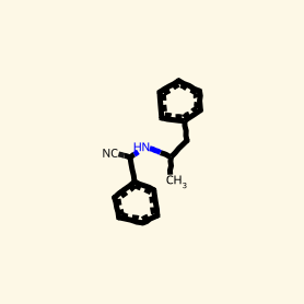 CC(Cc1ccccc1)NC(C#N)c1ccccc1